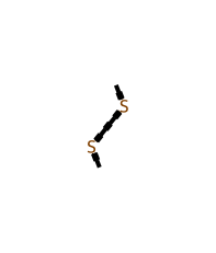 CC#CSC#CC#CC#CSC#CC